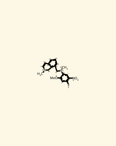 COc1cc(F)c([N+](=O)[O-])cc1N(C)Cc1cccc2c1CN(C)C=C2